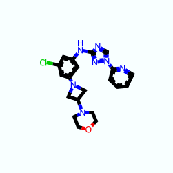 Clc1cc(Nc2ncn(-c3ccccn3)n2)cc(N2CC(N3CCOCC3)C2)c1